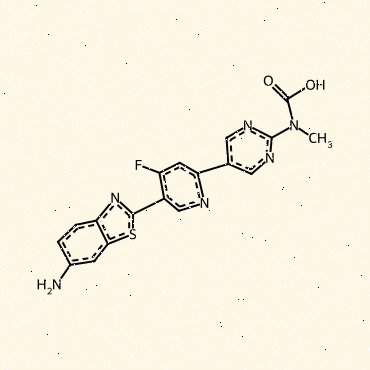 CN(C(=O)O)c1ncc(-c2cc(F)c(-c3nc4ccc(N)cc4s3)cn2)cn1